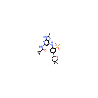 Cc1nc2c(Nc3ccc(C4CCC(C)(C)CO4)cc3S(C)(=O)=O)cc(NC(=O)C3CC3)nc2[nH]1